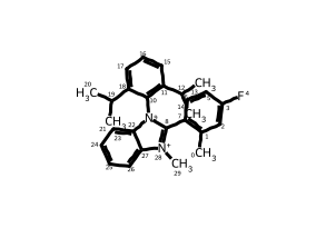 Cc1cc(F)ccc1-c1n(-c2c(C(C)C)cccc2C(C)C)c2ccccc2[n+]1C